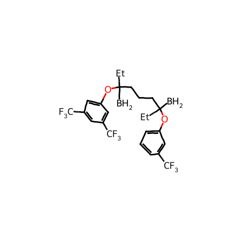 BC(CC)(CCCC(B)(CC)Oc1cc(C(F)(F)F)cc(C(F)(F)F)c1)Oc1cccc(C(F)(F)F)c1